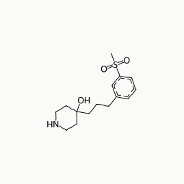 CS(=O)(=O)c1cccc(CCCC2(O)CCNCC2)c1